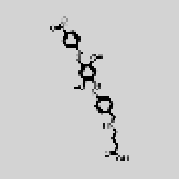 COc1cc(N=Nc2ccc([N+](=O)[O-])cc2)c(OC)cc1N=Nc1ccc(CNCCCC(=O)O)cc1